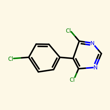 Clc1ccc(-c2c(Cl)ncnc2Cl)cc1